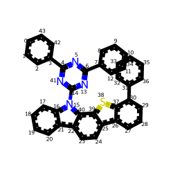 c1ccc(-c2nc(-c3ccccc3)nc(-n3c4ccccc4c4ccc5c6cccc(-c7ccccc7)c6sc5c43)n2)cc1